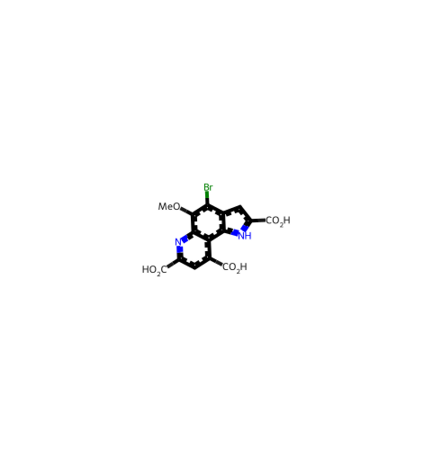 COc1c(Br)c2cc(C(=O)O)[nH]c2c2c(C(=O)O)cc(C(=O)O)nc12